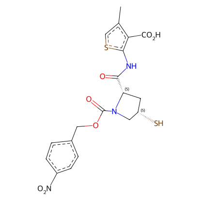 Cc1csc(NC(=O)[C@@H]2C[C@H](S)CN2C(=O)OCc2ccc([N+](=O)[O-])cc2)c1C(=O)O